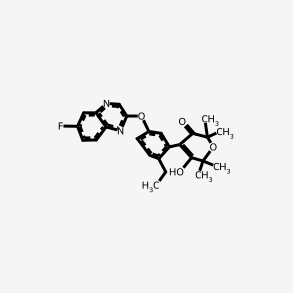 CCc1ccc(Oc2cnc3cc(F)ccc3n2)cc1C1=C(O)C(C)(C)OC(C)(C)C1=O